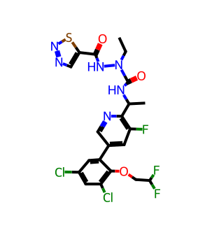 CCN(NC(=O)c1cnns1)C(=O)NC(C)c1ncc(-c2cc(Cl)cc(Cl)c2OCC(F)F)cc1F